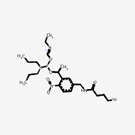 [2H]CCCC(=O)NCc1ccc([N+](=O)[O-])c(C(C)OP(O/C=N/CC)N(CCC)CCC)c1